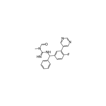 CN(C=O)C(=N)NC(c1ccccc1)c1ccc(F)c(-c2cncnc2)c1